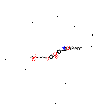 C=CC(=O)OCCCCCCOc1ccc(C(=O)Oc2ccc(-c3ccc(OCCCCC)cn3)cc2)cc1